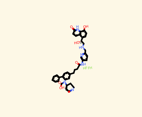 F.F.O=C(CCCc1ccc(-c2ccccc2)c(N(C(=O)O)C23CCN(CC2)CC3)c1)Nc1ccc(CNC[C@H](O)c2ccc(O)c3[nH]c(=O)ccc23)nc1